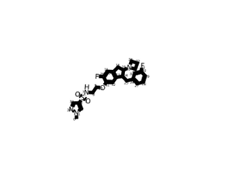 Cn1cc(S(=O)(=O)NCCOc2cc3c(cc2F)CC(N2CCC2)C3Cc2cccc(F)c2)cn1